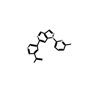 C=C(C)c1cncc(-c2cc3c(cn2)cnn3-c2cccc(F)n2)c1